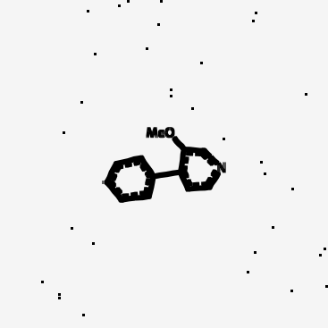 COc1cnccc1-c1cc[c]cc1